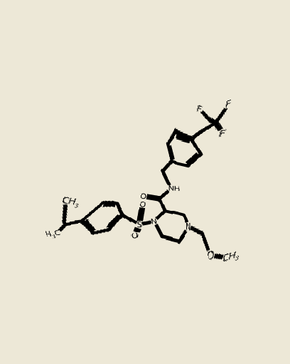 COCN1CCN(S(=O)(=O)c2ccc(C(C)C)cc2)C(C(=O)NCc2ccc(C(F)(F)F)cc2)C1